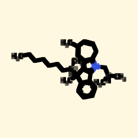 CCCCCCC[Si@H](C)C1(C)c2ccccc2-c2c1c1c(n2C[SiH](C)C)CC=CC(C)=C1